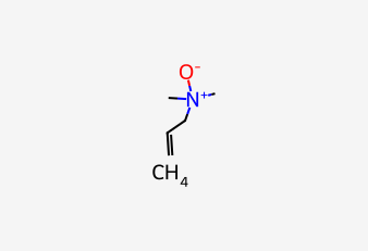 C.C=CC[N+](C)(C)[O-]